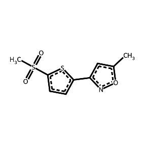 Cc1cc(-c2ccc(S(C)(=O)=O)s2)no1